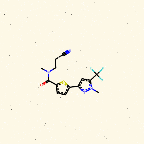 CN(CCC#N)C(=O)c1ccc(-c2cc(C(F)(F)F)n(C)n2)s1